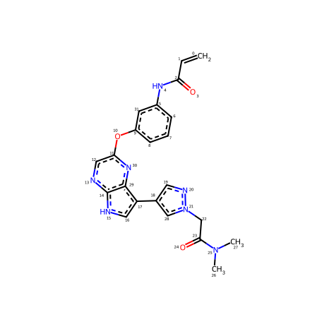 C=CC(=O)Nc1cccc(Oc2cnc3[nH]cc(-c4cnn(CC(=O)N(C)C)c4)c3n2)c1